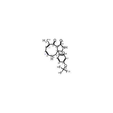 C/C1=C/C=C\NCC2(c3ccc(OC(F)(F)F)cc3)C(=O)NC(=O)N2C1=O